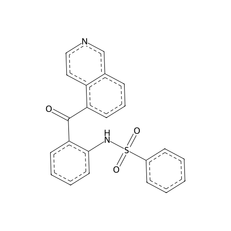 O=C(c1ccccc1NS(=O)(=O)c1ccccc1)c1cccc2cnccc12